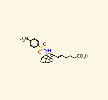 CC1(C)C2CC(CC=CCCCC(=O)O)C(NS(=O)(=O)c3ccc([N+](=O)[O-])cc3)C1C2